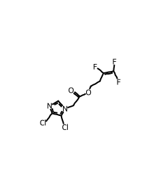 O=C(Cn1cnc(Cl)c1Cl)OCCC(F)=C(F)F